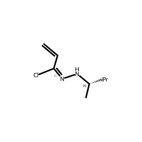 C=C/C(Cl)=N\N[C@@H](C)C(C)C